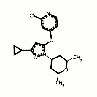 C[C@@H]1C[C@H](n2nc(C3CC3)cc2Oc2ccnc(Cl)c2)C[C@H](C)O1